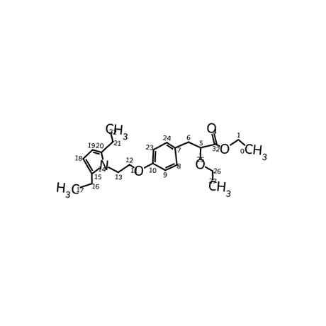 CCOC(=O)C(Cc1ccc(OCCn2c(CC)ccc2CC)cc1)OCC